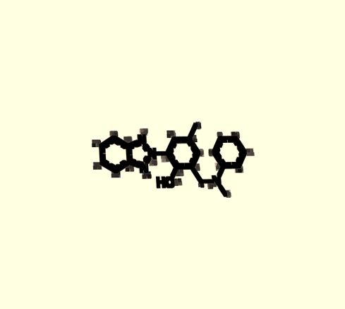 Cc1cc(CN(C)c2ccccc2)c(O)c(-n2nc3ccccc3n2)c1